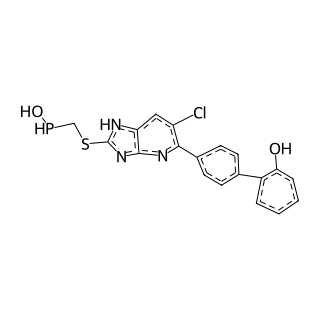 OPCSc1nc2nc(-c3ccc(-c4ccccc4O)cc3)c(Cl)cc2[nH]1